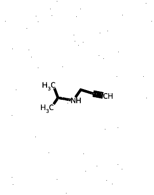 C#CCNC(C)C